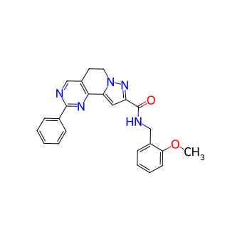 COc1ccccc1CNC(=O)c1cc2n(n1)CCc1cnc(-c3ccccc3)nc1-2